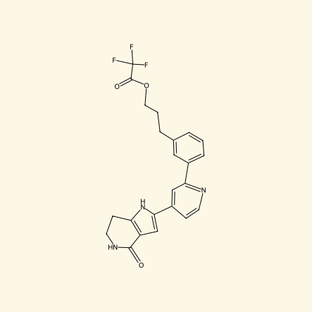 O=C1NCCc2[nH]c(-c3ccnc(-c4cccc(CCCOC(=O)C(F)(F)F)c4)c3)cc21